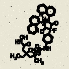 CCC(C)(CC(=O)NO)CC(C)(C)CC(=O)Nc1ccc(C(F)(C(=O)Nc2cccc3cccnc23)C(=O)Nc2cccc3cccnc23)cc1